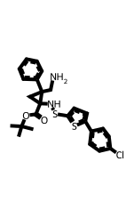 CC(C)(C)OC(=O)C1(NSc2ccc(-c3ccc(Cl)cc3)s2)CC1(CN)c1ccccc1